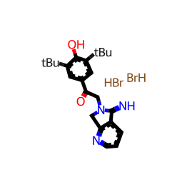 Br.Br.CC(C)(C)c1cc(C(=O)CN2Cc3ncccc3C2=N)cc(C(C)(C)C)c1O